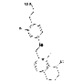 CCN1CCCc2ccc(CNc3ccc(CCC=O)c(F)c3)c(C)c21